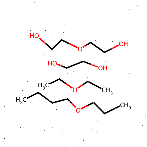 CCCCOCCC.CCOCC.OCCO.OCCOCCO